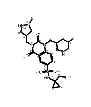 CC1CNCC(Cn2c(=O)n(CC3CNN(C)C3)c(=O)c3cc(S(=O)(=O)NC4(CF)CC4)ccc32)C1